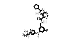 [2H]C([2H])([2H])n1cc(Nc2cc(F)cc(CNC(=O)c3ncnc4nc(C5CCCC5)[nH]c34)c2)cn1